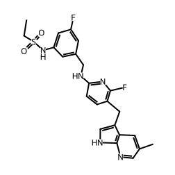 CCS(=O)(=O)Nc1cc(F)cc(CNc2ccc(Cc3c[nH]c4ncc(C)cc34)c(F)n2)c1